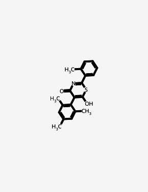 Cc1cc(C)c(-c2c(O)sc(-c3ccccc3C)nc2=O)c(C)c1